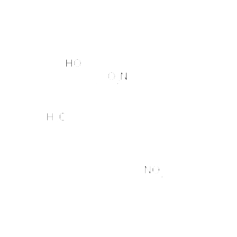 CC(CO)Cc1c([N+](=O)[O-])cccc1[N+](=O)[O-]